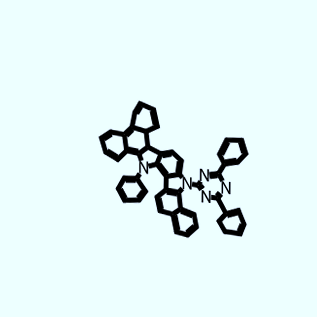 C1=CCCC(c2nc(-c3ccccc3)nc(-n3c4ccc5c(c4c4ccc6ccccc6c43)N(c3ccccc3)C3=c4ccccc4=C4C=CC=CC4C35)n2)=C1